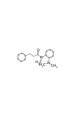 CN(C)c1ccccc1N(C)C(=O)CCc1ccccc1